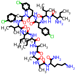 CCC(C)C(N)C(=O)NC(C(=O)NC(Cc1ccc(Cl)cc1)C(=O)NC(Cc1ccc(Cl)cc1)C(=O)NC(Cc1ccc(Cl)cc1)C(=O)NC(C(=O)NC(C(=O)NC(C(=O)NC(C)C(=O)NC(C)C(=O)NC(C)C(=O)NC(CCCCN)C(N)=O)C(C)CC)C(C)CC)C(C)CC)C(C)CC